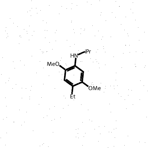 CCc1cc(OC)c(NC(C)C)cc1OC